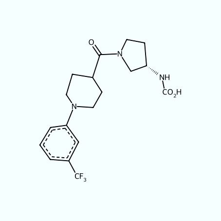 O=C(O)N[C@H]1CCN(C(=O)C2CCN(c3cccc(C(F)(F)F)c3)CC2)C1